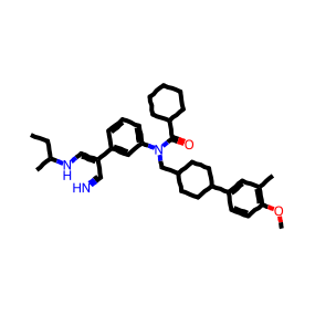 CCC(C)N/C=C(\C=N)c1cccc(N(CC2CCC(c3ccc(OC)c(C)c3)CC2)C(=O)C2CCCCC2)c1